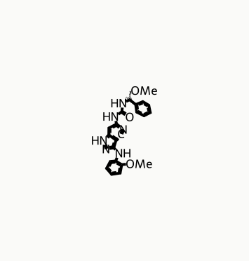 COC[C@@H](NC(=O)Nc1cc2[nH]nc(Nc3ccccc3OC)c2cn1)c1ccccc1